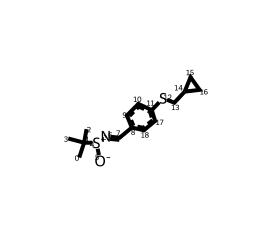 CC(C)(C)[S+]([O-])N=Cc1ccc(SCC2CC2)cc1